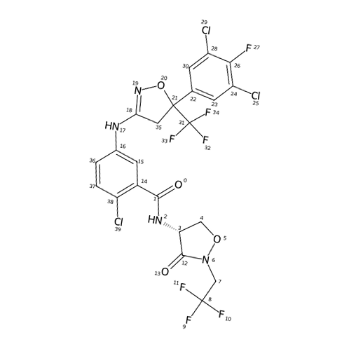 O=C(N[C@@H]1CON(CC(F)(F)F)C1=O)c1cc(NC2=NOC(c3cc(Cl)c(F)c(Cl)c3)(C(F)(F)F)C2)ccc1Cl